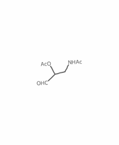 CC(=O)NCC(C=O)OC(C)=O